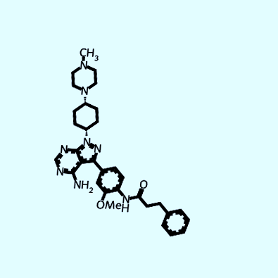 COc1cc(-c2nn([C@H]3CC[C@@H](N4CCN(C)CC4)CC3)c3ncnc(N)c23)ccc1NC(=O)CCc1ccccc1